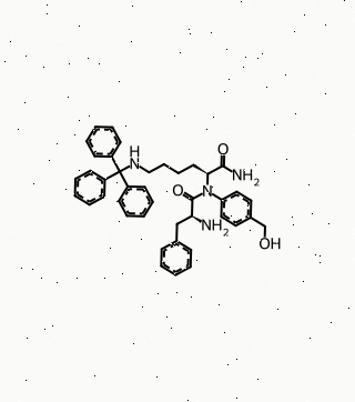 NC(=O)[C@H](CCCCNC(c1ccccc1)(c1ccccc1)c1ccccc1)N(C(=O)[C@@H](N)Cc1ccccc1)c1ccc(CO)cc1